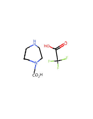 O=C(O)C(F)(F)F.O=C(O)N1CCNCC1